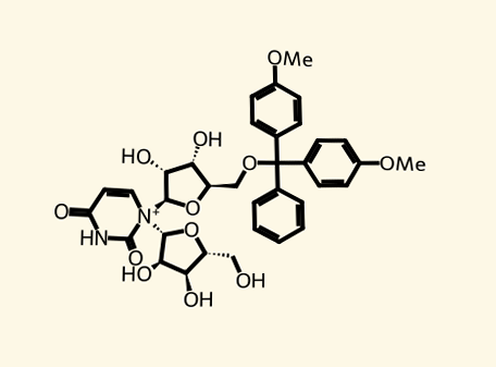 COc1ccc(C(OC[C@H]2O[C@@H]([N+]3([C@@H]4O[C@H](CO)[C@@H](O)[C@H]4O)C=CC(=O)NC3=O)[C@H](O)[C@@H]2O)(c2ccccc2)c2ccc(OC)cc2)cc1